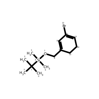 CC(C)(C)[Si](C)(C)OCC1=CC(Br)=CCC1